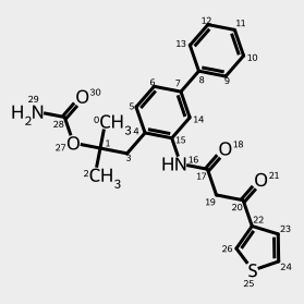 CC(C)(Cc1ccc(-c2ccccc2)cc1NC(=O)CC(=O)c1ccsc1)OC(N)=O